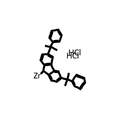 CC(C)(c1ccccc1)c1ccc2c(c1)-c1cc(C(C)(C)c3ccccc3)ccc1[CH]2[Zr].Cl.Cl